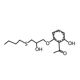 CCCCSCC(O)COc1cccc(O)c1C(C)=O